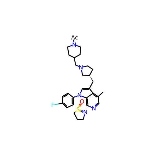 CC(=O)N1CCC(CN2CC[C@H](Cc3cn(-c4ccc(F)cc4[S@@]4(=O)=NCCC4)c4cncc(C)c34)C2)CC1